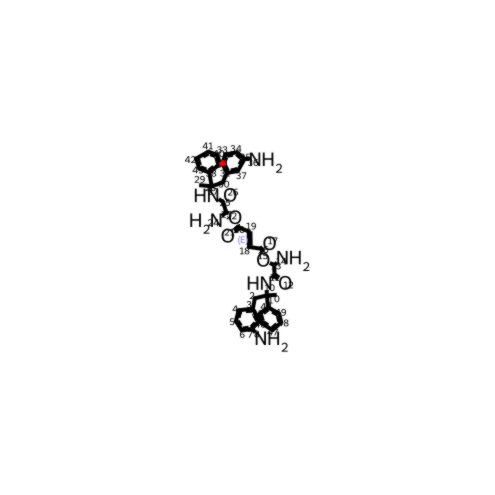 CC(Cc1cccc(N)c1)(NC(=O)C(N)OC(=O)/C=C/C(=O)OC(N)C(=O)NC(C)(Cc1cccc(N)c1)c1ccccc1)c1ccccc1